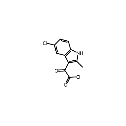 Cc1[nH]c2ccc(Cl)cc2c1C(=O)C(=O)Cl